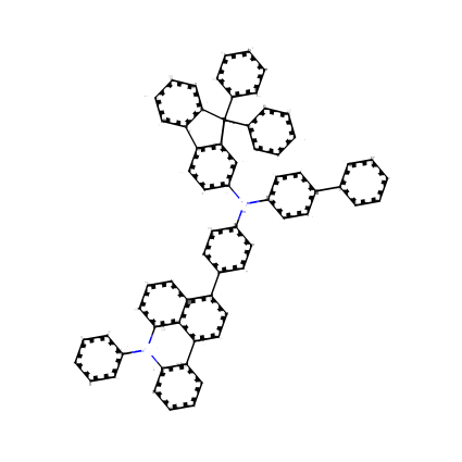 c1ccc(-c2ccc(N(c3ccc(-c4ccc5c6c(cccc46)N(c4ccccc4)c4ccccc4-5)cc3)c3ccc4c(c3)C(c3ccccc3)(c3ccccc3)c3ccccc3-4)cc2)cc1